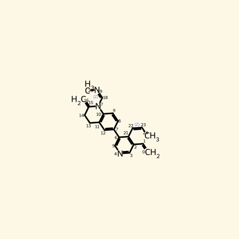 C=Cc1cncc(-c2ccc3c(c2)CCC(=C)N3/C=N\C)c1/C=C\C